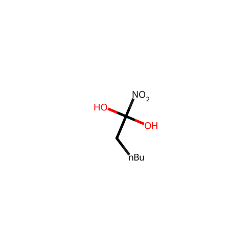 CCCCCC(O)(O)[N+](=O)[O-]